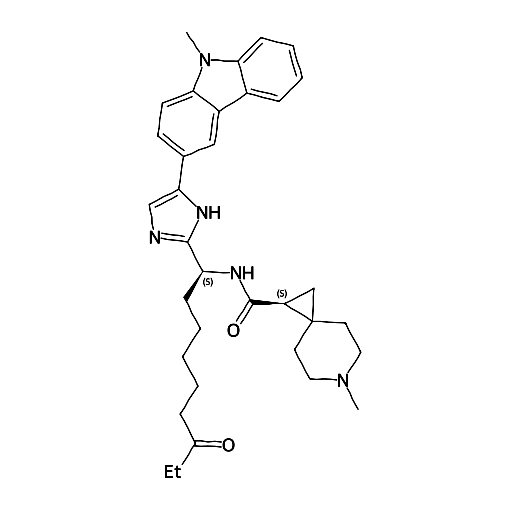 CCC(=O)CCCCC[C@H](NC(=O)[C@H]1CC12CCN(C)CC2)c1ncc(-c2ccc3c(c2)c2ccccc2n3C)[nH]1